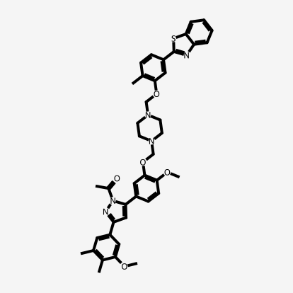 COc1ccc(-c2cc(-c3cc(C)c(C)c(OC)c3)nn2C(C)=O)cc1OCN1CCN(COc2cc(-c3nc4ccccc4s3)ccc2C)CC1